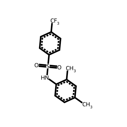 Cc1ccc(NS(=O)(=O)c2ccc(C(F)(F)F)cc2)c(C)c1